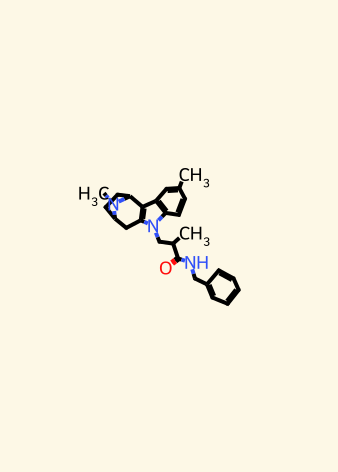 Cc1ccc2c(c1)c1c(n2CC(C)C(=O)NCc2ccccc2)CC2CCC1N2C